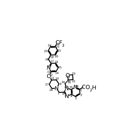 O=C(O)c1ccc2nc(CN3CCC(Oc4cccc(Cc5ccc(C(F)(F)F)cc5)n4)CC3)n(C[C@@H]3CCO3)c2n1